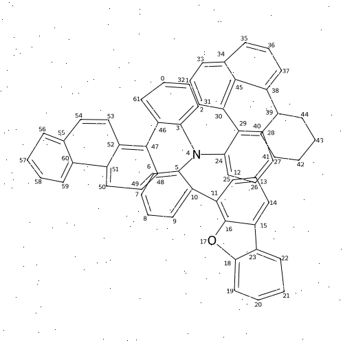 c1ccc(N(c2ccccc2-c2cccc3c2oc2ccccc23)c2ccccc2-c2cccc3cccc(C4CCCCC4)c23)c(-c2cccc3c2ccc2ccccc23)c1